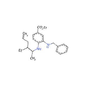 C=CCC(CC)C(C)Nc1ccc(C(=O)OCC)cc1NCc1ccccc1